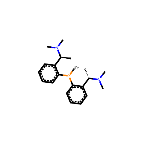 CC(C)P(c1ccccc1[C@H](C)N(C)C)c1ccccc1[C@H](C)N(C)C